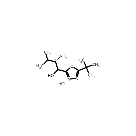 CC(C)[C@H](N)C(O)c1nnc(C(C)(C)C)o1.Cl